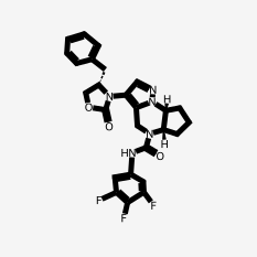 O=C(Nc1cc(F)c(F)c(F)c1)N1Cc2c(N3C(=O)OC[C@@H]3Cc3ccccc3)cnn2[C@@H]2CCC[C@@H]21